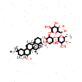 C[C@@H]1O[C@@H](O[C@@H]2C(O[C@@H]3OC(CO)[C@H](O)[C@H](O)C3O)[C@H](O[C@H]3CCC4(C)C5CC=C6C7CC(C)(C)CC[C@]7(C(=O)O)C(O)C[C@@]6(C)C5(C)CC[C@H]4[C@@]3(C)C=O)OC[C@H]2O)C(O)C(O)[C@H]1O